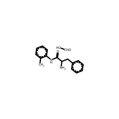 Cc1ccccc1NC(=O)C(N)Cc1ccccc1.O=CO